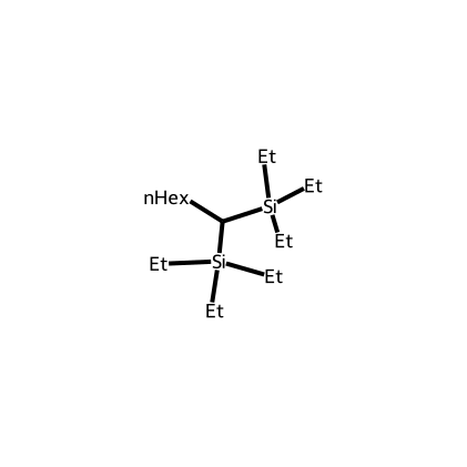 CCCCCCC([Si](CC)(CC)CC)[Si](CC)(CC)CC